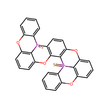 S=P12c3ccccc3Oc3cccc(c31)Oc1c2ccc2c1P1(=S)c3ccccc3Oc3cccc(c31)O2